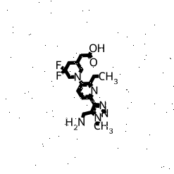 CCc1nc(-c2nnn(C)c2CN)ccc1N1CC(CC(=O)O)CC(F)(F)C1